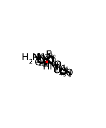 COc1ccc(OC(=O)Nc2ccc(F)c([C@@]3(C)N=C(N)OCC34CC4)c2)nc1